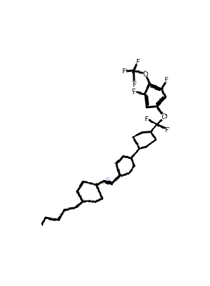 CCCCCC1CCC(/C=C/C2CCC(C3CCC(C(F)(F)Oc4cc(F)c(OC(F)(F)F)c(F)c4)CC3)CC2)CC1